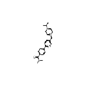 C=C(/C=C\C(=C/N)CN1CCN(C(C)C)CC1)c1ccc(C(=O)N(C)C)cc1